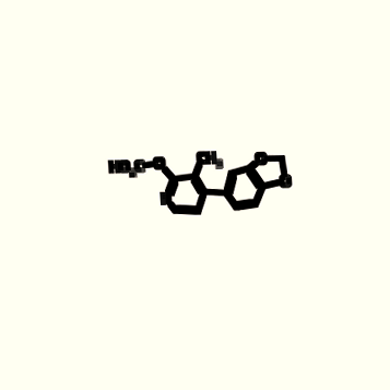 Cc1c(-c2ccc3c(c2)OCO3)ccnc1OC(=O)O